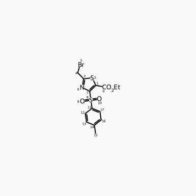 CCOC(=O)c1sc(CBr)nc1S(=O)(=O)c1ccc(C)cc1